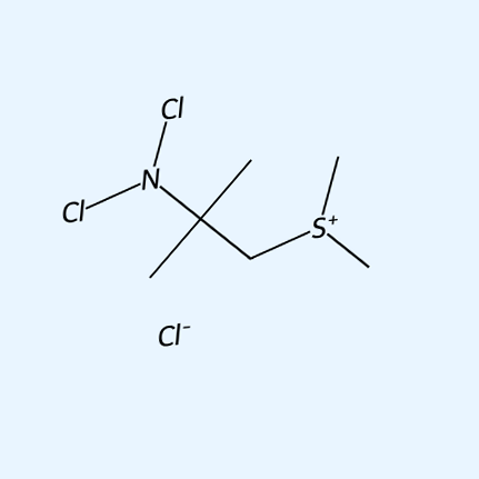 C[S+](C)CC(C)(C)N(Cl)Cl.[Cl-]